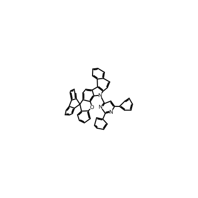 c1ccc(-c2cc(-n3c4ccc5ccccc5c4c4ccc5c(c43)Oc3ccccc3C53c4ccccc4-c4ccccc43)nc(-c3ccccc3)n2)cc1